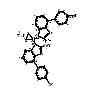 CCCC1=Cc2c(-c3ccc(C(C)C)cc3)cccc2[CH]1[Hf+2]1([CH]2C(CCC)=Cc3c(-c4ccc(C(C)C)cc4)cccc32)[CH2][CH2]1.[Cl-].[Cl-]